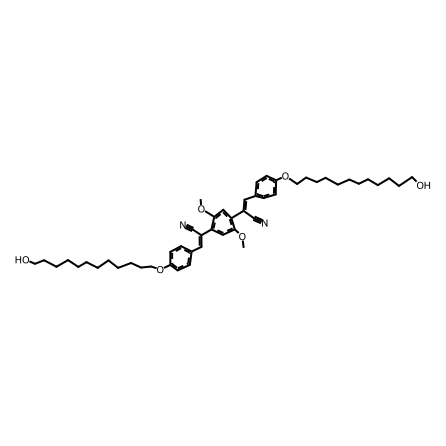 COc1cc(/C(C#N)=C/c2ccc(OCCCCCCCCCCCCO)cc2)c(OC)cc1/C(C#N)=C/c1ccc(OCCCCCCCCCCCCO)cc1